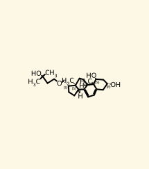 CC(C)(O)CCOC[C@H]1CC[C@H]2C3=CC=C4C[C@@H](O)C[C@H](O)[C@]4(C)[C@H]3CC[C@]12C